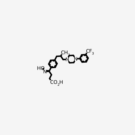 CC(Cc1ccc(/C(CCC(=O)O)=N\O)cc1)CN1CCN(c2cccc(C(F)(F)F)c2)CC1